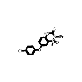 CC(C)N1C(=S)Nc2ccc(Oc3ccc(Cl)cc3)cc2P1(C)=O